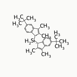 CC1=C(C)c2cc(C(C)(C)C)ccc2[C]1[SiH2][C]1C(C)=C(C)c2cc(C(C)(C)C)ccc21